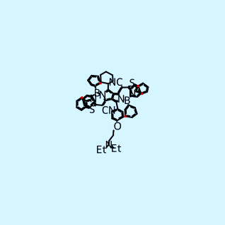 CCN(CC)CCCOc1ccc(-c2c3/c(=C(\C#N)c4nc5ccccc5s4)n(B(c4ccccc4)c4ccccc4)c(C4CCCCC4)c3/c(=C(\C#N)c3nc4ccccc4s3)n2B(c2ccccc2)c2ccccc2)cc1